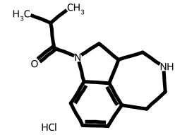 CC(C)C(=O)N1CC2CNCCc3cccc1c32.Cl